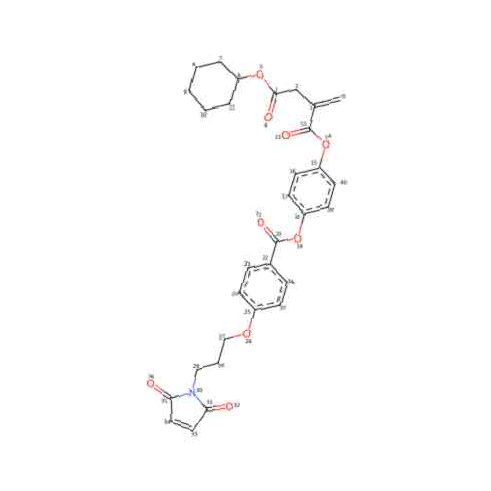 C=C(CC(=O)OC1CCCCC1)C(=O)Oc1ccc(OC(=O)c2ccc(OCCCN3C(=O)C=CC3=O)cc2)cc1